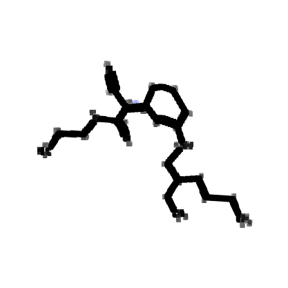 CCCCC(CC)CNC1=C/C(=C(/C#N)C(=O)OCCC)CCC1